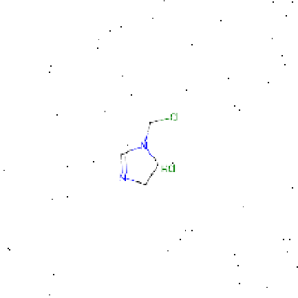 Cl.ClCN1C=NCC1